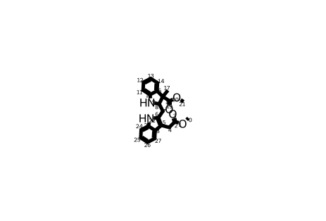 COC(=O)Cc1c(CC2Nc3ccccc3C2(C)C(=O)OC)[nH]c2ccccc12